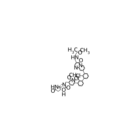 COc1nc(-c2cccc(-c3cccc(-c4ccn5c(=O)c(CNCC(C)OC)cnc5c4)c3Cl)c2Cl)ccc1CN(C[C@@H]1CCC(=O)N1)C(=O)O